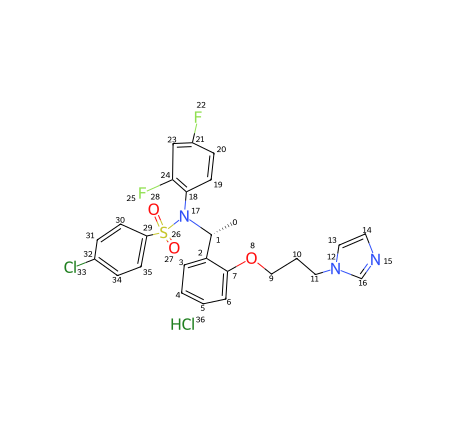 C[C@H](c1ccccc1OCCCn1ccnc1)N(c1ccc(F)cc1F)S(=O)(=O)c1ccc(Cl)cc1.Cl